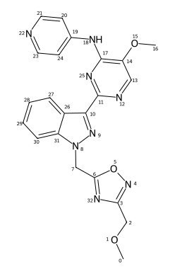 COCc1noc(Cn2nc(-c3ncc(OC)c(Nc4ccncc4)n3)c3ccccc32)n1